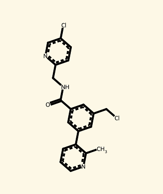 Cc1ncccc1-c1cc(CCl)cc(C(=O)NCc2ccc(Cl)cn2)c1